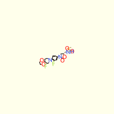 CS(=O)(=O)NC[C@H]1CN(c2ccc(N3CCC4(OCCO4)C(F)C3)c(F)c2)C(=O)O1